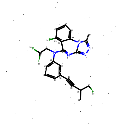 Cc1nnc2nc(N(CC(F)F)c3cccc(C#CC(C)CF)c3)c3c(F)cccc3n12